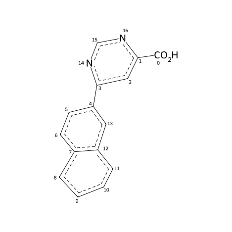 O=C(O)c1cc(-c2ccc3ccccc3c2)ncn1